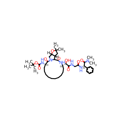 CN(C)C(=O)[C@@H](NC(=O)CNC(=O)C(O)[C@@H]1CCCCCCCCCC[C@H](NC(=O)OC(C)(C)C)C(=O)N2C[C@@H]3OC(C)(C)C[C@@H]3C2C(=O)N1)c1ccccc1